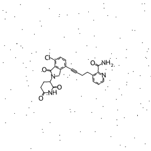 NC(=O)c1ncccc1CCC#Cc1ccc(Cl)c2c1CN(C1CCC(=O)NC1=O)C2=O